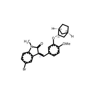 COc1ccc(/C=C2\C(=O)N(C)c3ccc(Br)cc32)cc1O[C@H]1C[C@@H]2CC[C@H]1C2